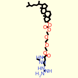 CC(=N)NC(CCCNC(=N)N)C(=O)OCCOCCOCCOC(=O)OC1CCC2(C)C(=CCC3C2CCC2(C)C(C(C)CCCC(C)C)CCC32)C1